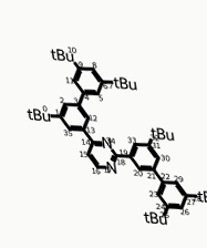 CC(C)(C)c1cc(-c2cc(C(C)(C)C)cc(C(C)(C)C)c2)cc(-c2ccnc(-c3cc(-c4cc(C(C)(C)C)cc(C(C)(C)C)c4)cc(C(C)(C)C)c3)n2)c1